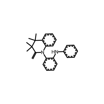 C=C1N(c2ccccc2Nc2ccccc2)c2ccccc2C(C)(C)C1(C)C